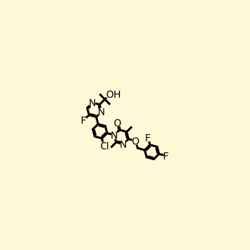 Cc1c(OCc2ccc(F)cc2F)nc(C)n(-c2cc(-c3nc(C(C)(C)O)ncc3F)ccc2Cl)c1=O